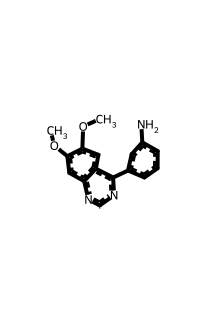 COc1cc2n[c]nc(-c3cccc(N)c3)c2cc1OC